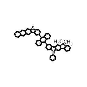 CC1(C)c2ccccc2-c2cc3c(cc21)c1cc(-c2c4ccccc4c(-c4ccc5sc6cc7cc8ccccc8cc7cc6c5c4)c4ccccc24)ccc1n3-c1ccccc1